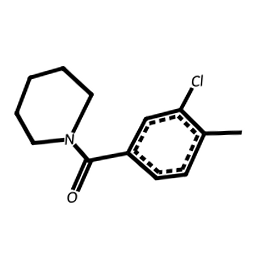 Cc1ccc(C(=O)N2CCCCC2)cc1Cl